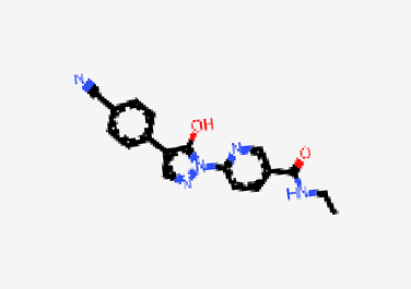 CCNC(=O)c1ccc(-n2ncc(-c3ccc(C#N)cc3)c2O)nc1